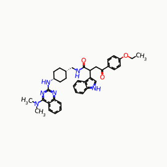 CCOc1ccc(C(=O)CC(C(=O)NC[C@H]2CC[C@@H](Nc3nc(N(C)C)c4ccccc4n3)CC2)c2c[nH]c3ccccc23)cc1